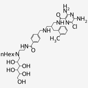 CCCCCCN(CCNC(=O)c1ccc(CNCC(CNC(=O)c2nc(Cl)c(N)nc2N)Cc2ccccc2C)cc1)CC(O)C(O)C(O)C(O)CO